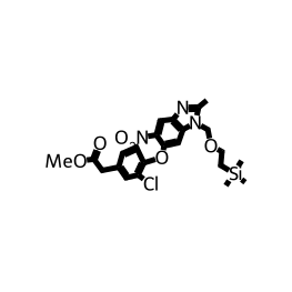 COC(=O)Cc1ccc(Oc2cc3c(cc2[N+](=O)[O-])nc(C)n3COCC[Si](C)(C)C)c(Cl)c1